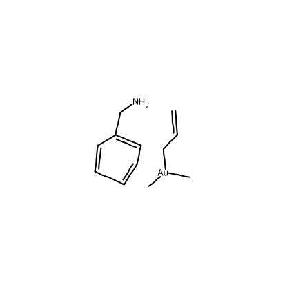 C=C[CH2][Au]([CH3])[CH3].NCc1ccccc1